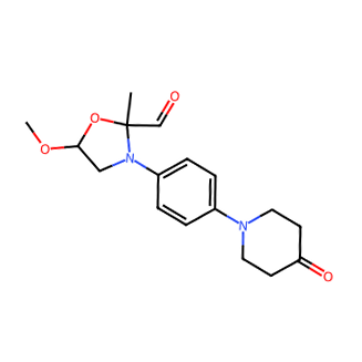 COC1CN(c2ccc(N3CCC(=O)CC3)cc2)C(C)(C=O)O1